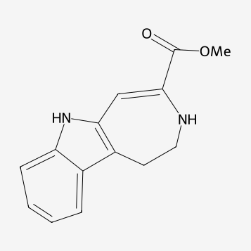 COC(=O)C1=Cc2[nH]c3ccccc3c2CCN1